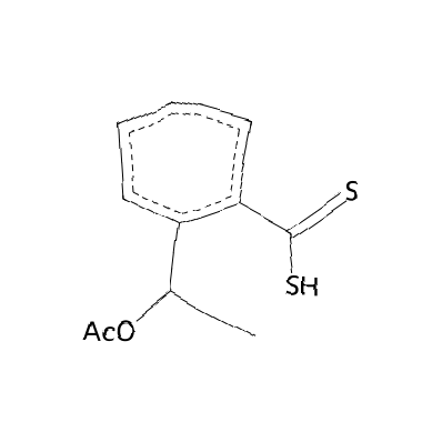 CC(=O)OC(C)c1ccccc1C(=S)S